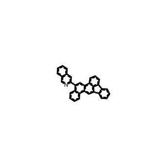 c1ccc2c(c1)-c1cccc3c1c-2cc1c2ccccc2c(-c2cc4ccccc4cn2)cc31